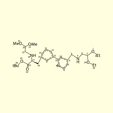 CCOC(CNCc1ccnc(-c2cccc(C[C@H](NCC(OC)OC)C(=O)OC(C)(C)C)c2)c1)OCC